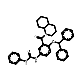 O=C(Nc1ccccc1)Nc1ccc(OC(c2ccccc2)c2ccccc2)c(C(=O)N2CCCC3CCCCC32)c1